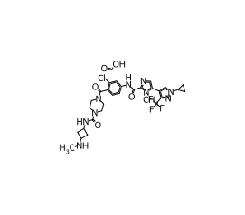 CNC1CC(NC(=O)N2CCN(C(=O)c3ccc(NC(=O)c4ncc(-c5cn(C6CC6)nc5C(F)(F)F)n4C)cc3Cl)CC2)C1.O=CO